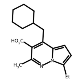 CCc1ccc2c(CC3CCCCC3)c(C(=O)O)c(C)nn12